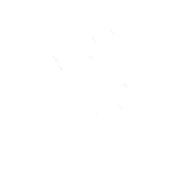 OC(COc1ccccc1)CN1CCN(Cc2cc3nc(-c4cccc5[nH]ncc45)nc(N4CCOCC4)c3s2)CC1